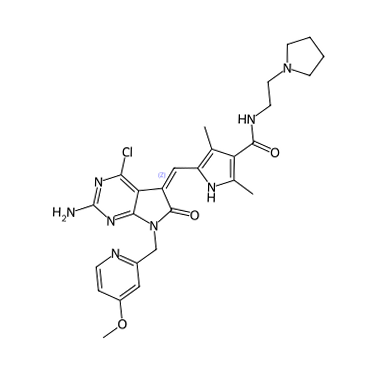 COc1ccnc(CN2C(=O)/C(=C\c3[nH]c(C)c(C(=O)NCCN4CCCC4)c3C)c3c(Cl)nc(N)nc32)c1